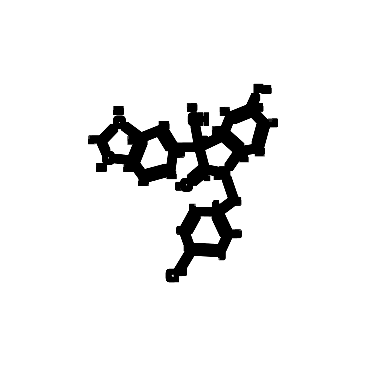 O=C1N(Cc2ccc(Cl)cc2)c2ccc(F)cc2C1(O)c1ccc2c(c1)OCO2